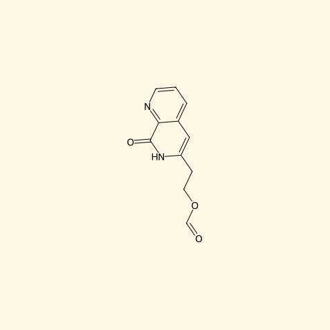 O=COCCc1cc2cccnc2c(=O)[nH]1